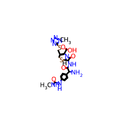 CNC(=O)Nc1ccc(C(N)C(=O)NC2C(=O)N3C(C(=O)O)=C(CSc4nnnn4C)CS[C@H]23)cc1